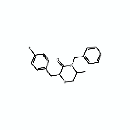 CC1CO[C@@H](Cc2ccc(F)cc2)C(=O)N1Cc1ccccc1